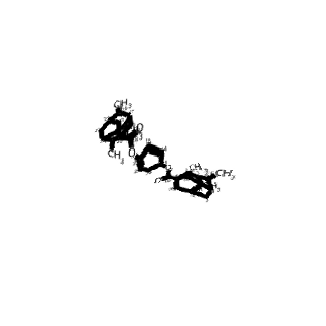 CC1C2CC3C(C)C1CC(C(=O)Oc1ccc(OC(=O)C45CC6CC(C(C)C(C4)C6C)C5C)cc1)(C2)C3C